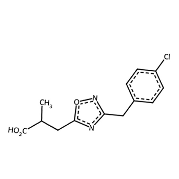 CC(Cc1nc(Cc2ccc(Cl)cc2)no1)C(=O)O